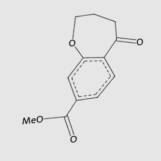 COC(=O)c1ccc2c(c1)OCCCC2=O